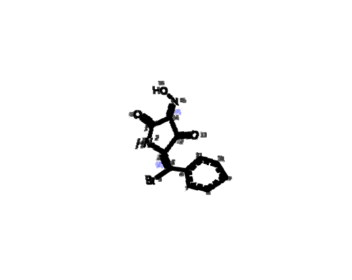 O=C1N/C(=C(\Br)c2ccccc2)C(=O)/C1=N/O